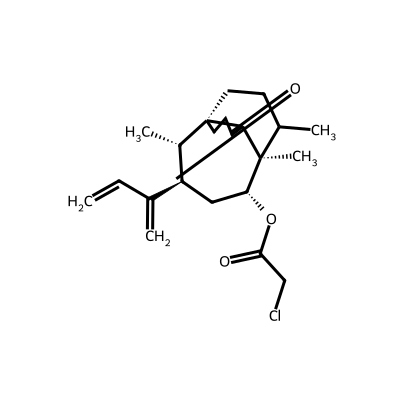 C=CC(=C)[C@@H]1C[C@@H](OC(=O)CCl)[C@]2(C)C(C)CC[C@]3(CCC(=O)C32)[C@H]1C